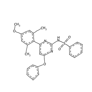 COc1cc(C)c(-c2cc(Oc3ccccc3)nc(NS(=O)(=O)c3ccccc3)n2)c(C)c1